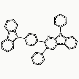 c1ccc(-c2cc3c4ccccc4n(-c4ccccc4)c3nc2-c2ccc(-n3c4ccccc4c4ccccc43)cc2)cc1